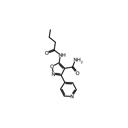 CCCC(=O)Nc1onc(-c2ccncc2)c1C(N)=O